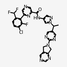 CC(c1cnc(N2Cc3cncnc3C2)nc1)n1cc(NC(=O)c2cncc(-c3c(C(F)F)ccc(Cl)c3F)n2)cn1